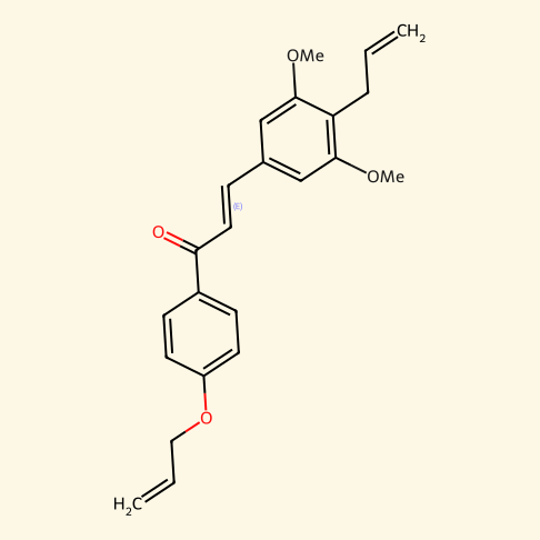 C=CCOc1ccc(C(=O)/C=C/c2cc(OC)c(CC=C)c(OC)c2)cc1